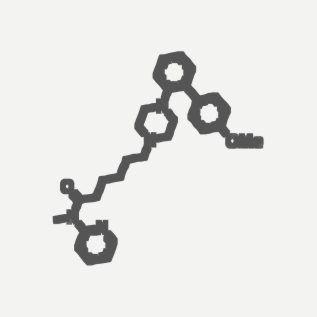 COc1ccc(-c2ccccc2N2CCN(CCCCCC(=O)N(C)c3ccccn3)CC2)cc1